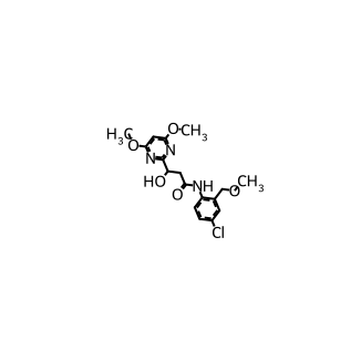 COCc1cc(Cl)ccc1NC(=O)CC(O)c1nc(OC)cc(OC)n1